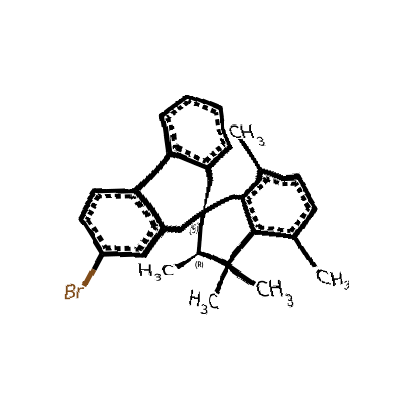 Cc1ccc(C)c2c1C(C)(C)[C@@H](C)[C@@]21c2ccccc2-c2ccc(Br)cc21